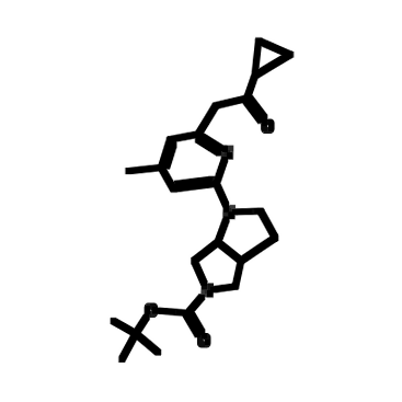 Cc1cc(CC(=O)C2CC2)nc(N2CCC3CN(C(=O)OC(C)(C)C)CC32)c1